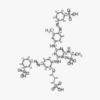 Cc1cc(Nc2nc(Nc3ccc(N=Nc4cccc(S(=O)(=O)O)c4)cc3OCCCS(=O)(=O)O)nc(NC(C)S(=O)(=O)O)n2)ccc1N=Nc1cccc(S(=O)(=O)O)c1